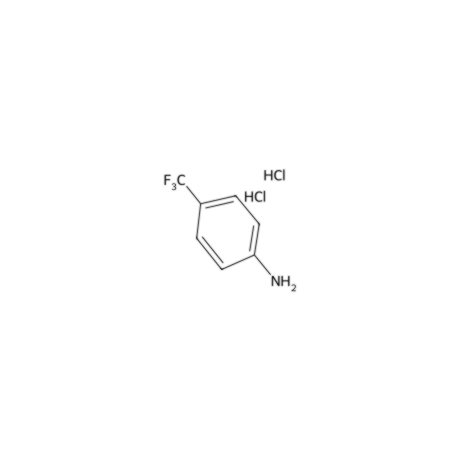 Cl.Cl.Nc1ccc(C(F)(F)F)cc1